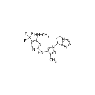 CNc1nc(Nc2cn(C3CCn4ccnc43)nc2C)ncc1C(F)(F)F